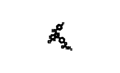 NC(=O)OC1CCC(n2nc(Nc3ccc(F)cc3)c3cnc(Cl)nc32)CC1